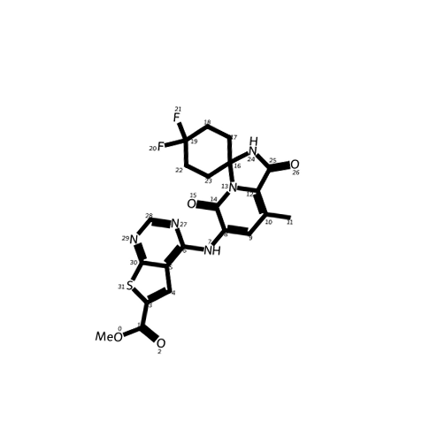 COC(=O)c1cc2c(Nc3cc(C)c4n(c3=O)C3(CCC(F)(F)CC3)NC4=O)ncnc2s1